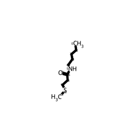 CCCCCNC(=O)CCSC